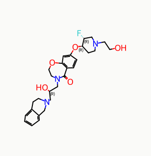 O=C1c2ccc(O[C@@H]3CCN(CCO)C[C@H]3F)cc2OCCN1C[C@H](O)CN1CCc2ccccc2C1